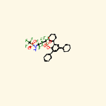 O=S(=O)(NC(F)(F)C(F)(F)C(F)(F)S(=O)(=O)Oc1c(C2CCCCC2)cc(C2CCCCC2)cc1C1CCCCC1)C(F)(F)F